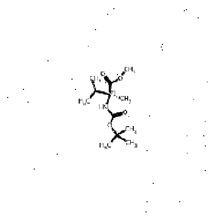 COC(=O)[C@@](C)(NC(=O)OC(C)(C)C)C(C)C